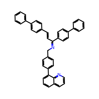 C(=C\c1ccc(-c2ccccc2)cc1)/C(=N\Cc1ccc(-c2cccc3cccnc23)cc1)c1ccc(-c2ccccc2)cc1